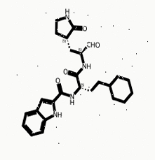 O=C[C@H](C[C@@H]1CCNC1=O)NC(=O)[C@H](CCC1CCCCC1)NC(=O)c1cc2ccccc2[nH]1